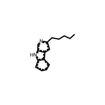 CCCCCc1cc2c(cn1)[nH]c1ccccc12